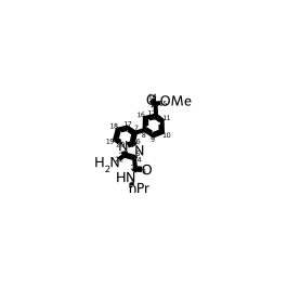 CCCNC(=O)c1nc2c(-c3cccc(C(=O)OC)c3)cccn2c1N